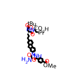 COC(=O)c1ccc(C(=O)NN(C(=O)CN)c2ccc3c(c2)Cc2cc(CCC[C@H](CC(=O)OC(C)(C)C)C(=O)N[C@@H](CC(C)C)C(=O)O)ccc2-3)cc1